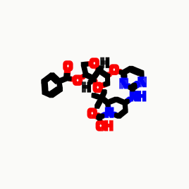 CC(C)(C)C1CC(Nc2nccc(O[C@H]3CO[C@H]4[C@@H]3OC[C@@H]4OC(=O)c3ccccc3)n2)CCN1C(=O)O